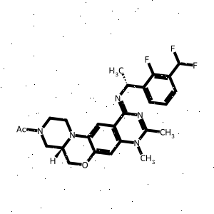 CC(=O)N1CCN2c3cc4/c(=N/[C@H](C)c5cccc(C(F)F)c5F)nc(C)n(C)c4cc3OC[C@@H]2C1